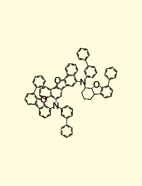 c1ccc(-c2cccc(N(c3cc4c5cc(N(c6cccc(-c7ccccc7)c6)C6CCCC7c8cccc(-c9ccccc9)c8OC76)c6ccccc6c5oc4c4ccccc34)c3cccc4c3oc3c(-c5ccccc5)cccc34)c2)cc1